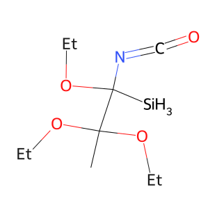 CCOC([SiH3])(N=C=O)C(C)(OCC)OCC